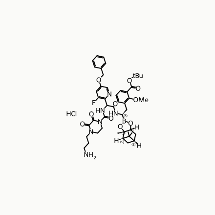 COc1c(C[C@H](NC(=O)C(NC(=O)N2CCN(CCCN)C(=O)C2=O)c2ncc(OCc3ccccc3)cc2F)B2O[C@@H]3C[C@@H]4C[C@@H](C4(C)C)[C@]3(C)O2)cccc1C(=O)OC(C)(C)C.Cl